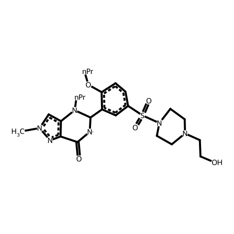 CCCOc1ccc(S(=O)(=O)N2CCN(CCO)CC2)cc1C1[N]C(=O)c2nn(C)cc2N1CCC